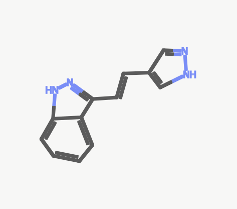 C(=Cc1n[nH]c2ccccc12)c1cn[nH]c1